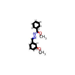 COC(=[N+]N=Cc1cccc(OC)c1)c1ccccc1